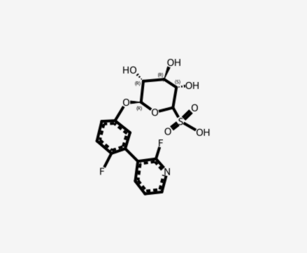 O=S(=O)(O)C1O[C@@H](Oc2ccc(F)c(-c3cccnc3F)c2)[C@H](O)[C@@H](O)[C@@H]1O